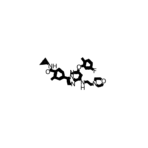 Cc1ccc(F)cc1Oc1cc(NCCN2CCOCC2)c2ncc(-c3ccc(C(=O)NC4CC4)c(C)c3)n2n1